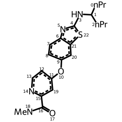 CCCC(CCC)Nc1nc2ccc(Oc3ccnc(C(=O)NC)c3)cc2s1